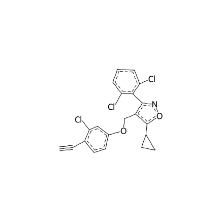 C#Cc1ccc(OCc2c(-c3c(Cl)cccc3Cl)noc2C2CC2)cc1Cl